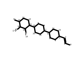 C/C=C/C1CCC(C2CCC(C3CCC(C)C(F)C3F)CC2)CC1